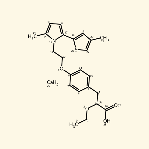 CCO[C@@H](Cc1ccc(OCCn2c(C)ccc2-c2cc(C)cs2)cc1)C(=O)O.[CaH2]